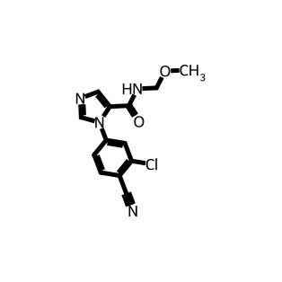 COCNC(=O)c1cncn1-c1ccc(C#N)c(Cl)c1